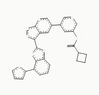 O=C(Nc1cncc(-c2cnc3[nH]nc(-c4nc5c(-c6cccs6)cccc5[nH]4)c3c2)c1)C1CCC1